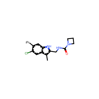 Cc1c(CNC(=O)N2CCC2)[nH]c2cc(C(C)C)c(Cl)cc12